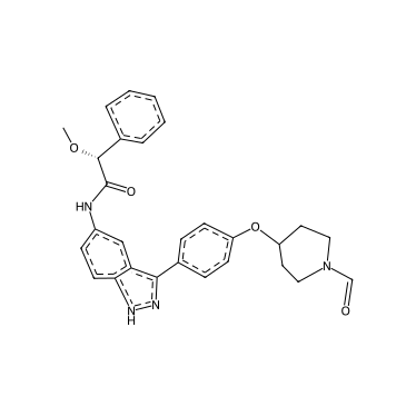 CO[C@@H](C(=O)Nc1ccc2[nH]nc(-c3ccc(OC4CCN(C=O)CC4)cc3)c2c1)c1ccccc1